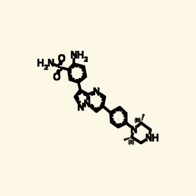 C[C@@H]1CNC[C@H](C)N1c1ccc(-c2cnc3c(-c4ccc(N)c(S(N)(=O)=O)c4)cnn3c2)cc1